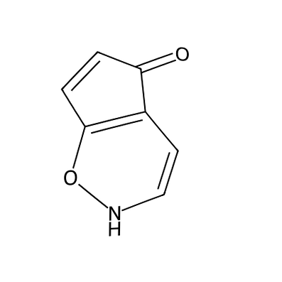 O=c1ccc2o[nH]ccc1=2